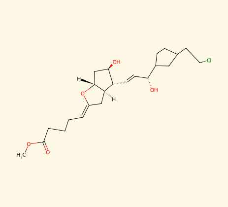 COC(=O)CCC/C=C1/C[C@@H]2[C@@H](/C=C/[C@@H](O)C3CCC(CCCl)C3)[C@H](O)C[C@H]2O1